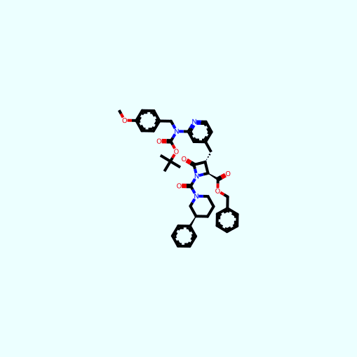 COc1ccc(CN(C(=O)OC(C)(C)C)c2cc(C[C@H]3C(=O)N(C(=O)N4CCC[C@@H](c5ccccc5)C4)[C@@H]3C(=O)OCc3ccccc3)ccn2)cc1